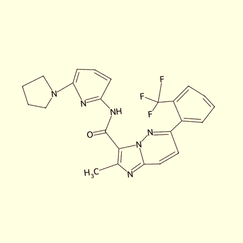 Cc1nc2ccc(-c3ccccc3C(F)(F)F)nn2c1C(=O)Nc1cccc(N2CCCC2)n1